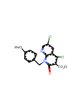 CCOC(=O)c1c(Cl)c2cc(Cl)cnc2n(Cc2ccc(OC)cc2)c1=O